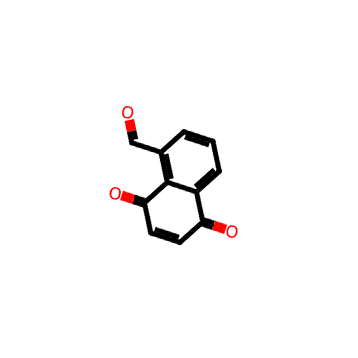 O=Cc1cccc2c1C(=O)C=CC2=O